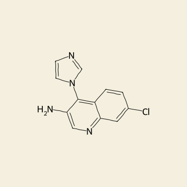 Nc1cnc2cc(Cl)ccc2c1-n1ccnc1